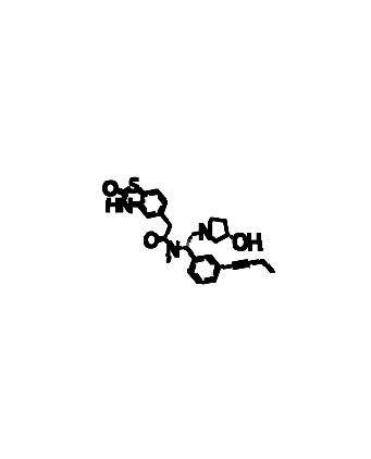 CCC#Cc1cccc([C@@H](CN2CC[C@H](O)C2)N(C)C(=O)Cc2ccc3sc(=O)[nH]c3c2)c1